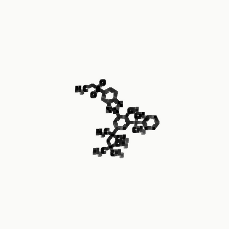 CCS(=O)(=O)c1ccc2nn(-c3cc(C(C)(C)CC(C)(C)C)cc(C(C)(C)c4ccccc4)c3O)nc2c1